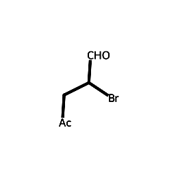 CC(=O)CC(Br)C=O